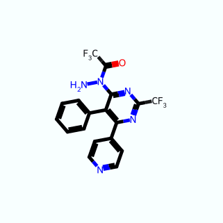 NN(C(=O)C(F)(F)F)c1nc(C(F)(F)F)nc(-c2ccncc2)c1-c1ccccc1